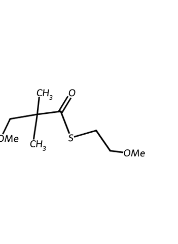 COCCSC(=O)C(C)(C)COC